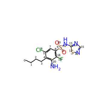 CCCCc1c(Cl)cc(S(=O)(=O)Nc2ncns2)c(F)c1N